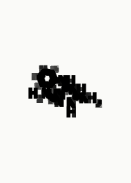 N#CN.N=C(N)NC(=N)Nc1ccccc1